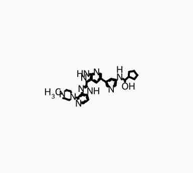 CN1CCN(c2nccc3[nH]c(-c4n[nH]c5ncc(-c6cncc(NC(O)C7CCCC7)c6)cc45)nc23)CC1